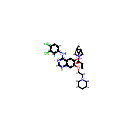 C=CC(=O)N1C[C@@]23C[C@]2(C1)C3Oc1cc2c(Nc3ccc(Cl)c(Cl)c3F)ncnc2cc1OCCN1CCCCC1